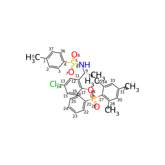 Cc1ccc(S(=O)(=O)N[C@H](C)c2cc(Cl)ccc2O[P@@](=O)(c2ccccc2)c2c(C)cc(C)cc2C)cc1